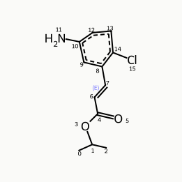 CC(C)OC(=O)/C=C/c1cc(N)ccc1Cl